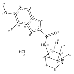 COc1ccc2cc(C(=O)N[C@@H]3C4CCN(CC4)C3(C)C)sc2c1F.Cl